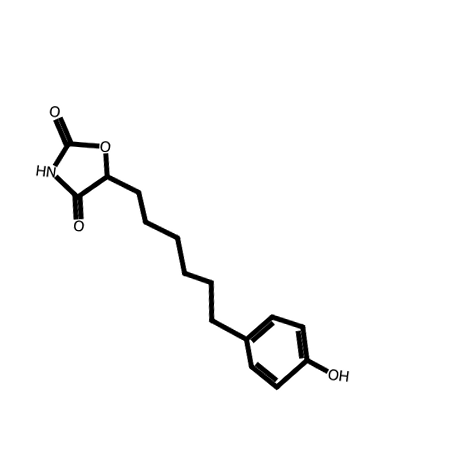 O=C1NC(=O)C(CCCCCCc2ccc(O)cc2)O1